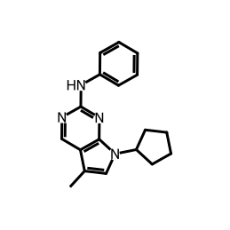 Cc1cn(C2CCCC2)c2nc(Nc3ccccc3)ncc12